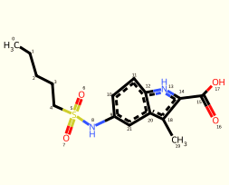 CCCCCS(=O)(=O)Nc1ccc2[nH]c(C(=O)O)c(C)c2c1